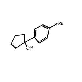 CCCCc1ccc(C2(O)CCCC2)cc1